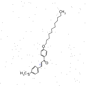 CCCCCCCCCCCCOc1ccc(C(=O)/C=C/c2ccc(SC)cc2)cc1